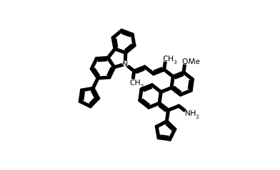 COc1cccc(C2C=CC=C/C2=C(/CN)C2=CC=CC2)c1/C(C)=C/C=C(\C)n1c2ccccc2c2ccc(C3=C=CC=C3)cc21